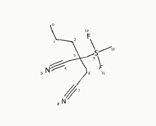 CCCC(C#N)(CC#N)S(C)(F)F